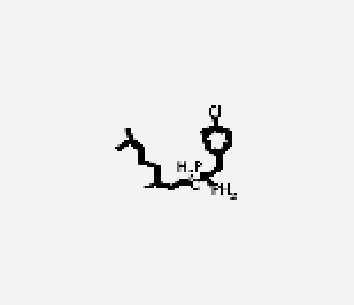 CC(C)=CCC[C@H](C)CCOC(P)(P)Cc1ccc(Cl)cc1